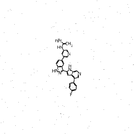 C=C(CCC)Nc1cncc(-c2ccc3[nH]nc(-c4cc5c(-c6ccc(F)cc6)cncc5[nH]4)c3c2)c1